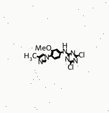 COc1cc(Nc2nc(Cl)nc(Cl)n2)ccc1-n1cnc(C)c1